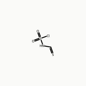 O=S(=O)(Cl)NC=S